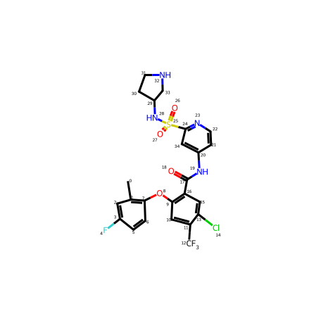 Cc1cc(F)ccc1Oc1cc(C(F)(F)F)c(Cl)cc1C(=O)Nc1ccnc(S(=O)(=O)NC2CCNC2)c1